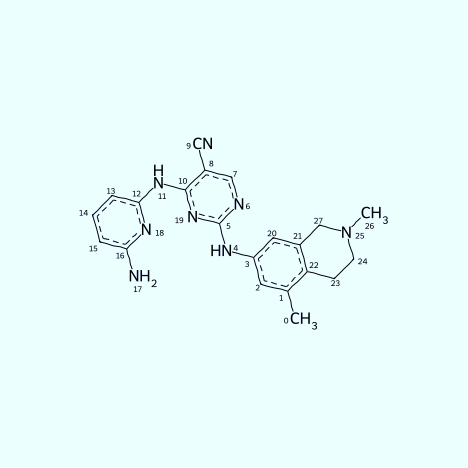 Cc1cc(Nc2ncc(C#N)c(Nc3cccc(N)n3)n2)cc2c1CCN(C)C2